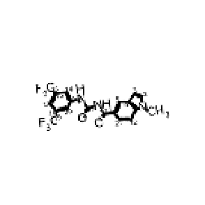 Cn1ccc2cc(C(=O)NC(=O)Nc3cc(C(F)(F)F)cc(C(F)(F)F)c3)ccc21